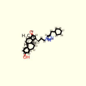 C[C@]12CC[C@@H]3c4ccc(O)cc4CC[C@H]3[C@@H]1[C@H](CCCn1cc(CC3CCCCC3)nn1)CC2=O